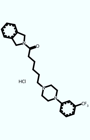 Cl.O=C(CCCCCN1CCN(c2cccc(C(F)(F)F)c2)CC1)N1Cc2ccccc2C1